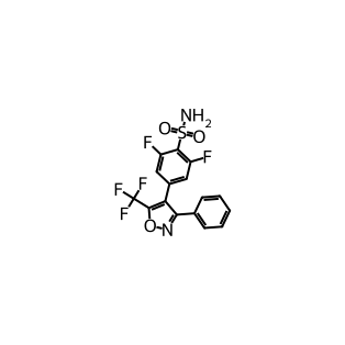 NS(=O)(=O)c1c(F)cc(-c2c(-c3ccccc3)noc2C(F)(F)F)cc1F